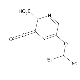 CCC(CC)OC1=CC(=C=O)C(C(=O)O)N=C1